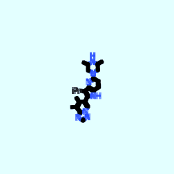 Cc1c(-c2[nH]c3ccc(N4CC(C)NC(C)C4)nc3c2C(C)C)cn2ncnc2c1C